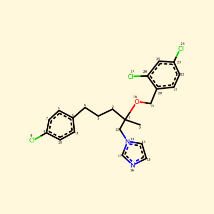 CC(CCCc1ccc(Cl)cc1)(Cn1ccnc1)OCc1ccc(Cl)cc1Cl